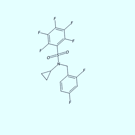 O=S(=O)(c1c(F)c(F)c(F)c(F)c1F)N(Cc1ccc(F)cc1F)C1CC1